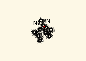 N#Cc1cccc(C#N)c1-c1cccc(-c2ccc(-n3c4ccccc4c4cc5c(cc43)oc3ccccc35)cc2-n2c3ccccc3c3c2ccc2c4ccccc4n(-c4ccccc4)c23)c1